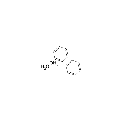 O.O.c1ccccc1.c1ccccc1